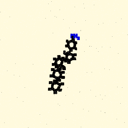 Cc1c(-c2ccc(N)cc2)cccc1-c1cccc(-c2ccc(-c3ccccc3)cc2)c1C